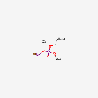 CCCCCCCCOP(=O)(OCCCC)OP=S.[Zn]